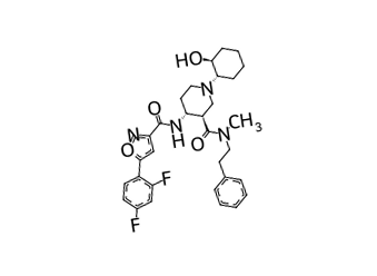 CN(CCc1ccccc1)C(=O)[C@@H]1CN([C@H]2CCCC[C@@H]2O)CC[C@H]1NC(=O)c1cc(-c2ccc(F)cc2F)on1